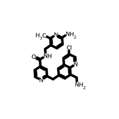 Cc1nc(N)ccc1CNC(=O)c1ccnc(Cc2cc(CN)c3ncc(Cl)cc3c2)c1